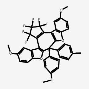 COc1ccc(C2(c3ccc(C)cc3)c3oc4ccc(OC)cc4c3C3=C(c4c2oc2ccc(OC)cc42)C(F)(F)C(F)(F)C3(F)F)cc1